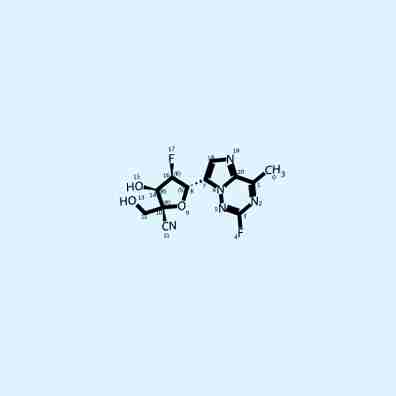 Cc1nc(F)nn2c([C@@H]3O[C@](C#N)(CO)[C@@H](O)[C@H]3F)cnc12